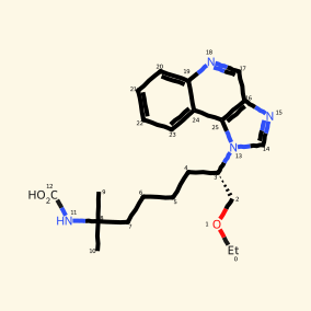 CCOC[C@H](CCCCC(C)(C)NC(=O)O)n1cnc2cnc3ccccc3c21